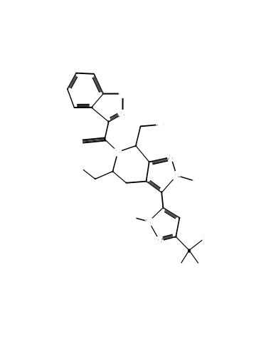 CCC1Cc2c(nn(C)c2-c2cc(C(F)(F)F)nn2C)C(CC)N1C(=O)c1noc2ccccc12